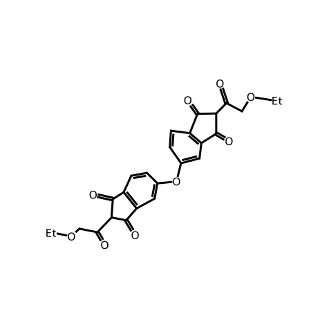 CCOCC(=O)C1C(=O)c2ccc(Oc3ccc4c(c3)C(=O)C(C(=O)COCC)C4=O)cc2C1=O